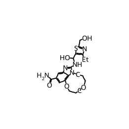 CCc1nc(CO)sc1C(O)Nc1nc2cc(C(N)=O)cc3c2n1CCCOCCCO3